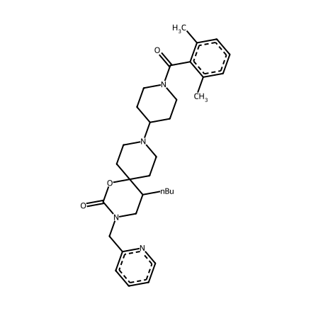 CCCCC1CN(Cc2ccccn2)C(=O)OC12CCN(C1CCN(C(=O)c3c(C)cccc3C)CC1)CC2